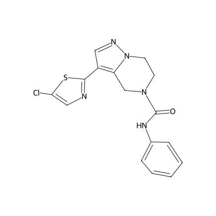 O=C(Nc1ccccc1)N1CCn2ncc(-c3ncc(Cl)s3)c2C1